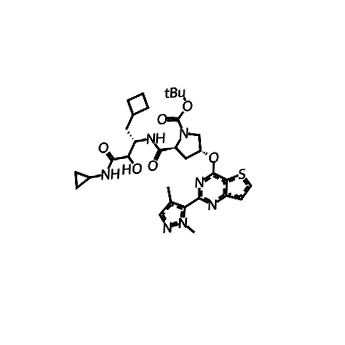 Cc1cnn(C)c1-c1nc(O[C@@H]2C[C@@H](C(=O)N[C@@H](CC3CCC3)C(O)C(=O)NC3CC3)N(C(=O)OC(C)(C)C)C2)c2sccc2n1